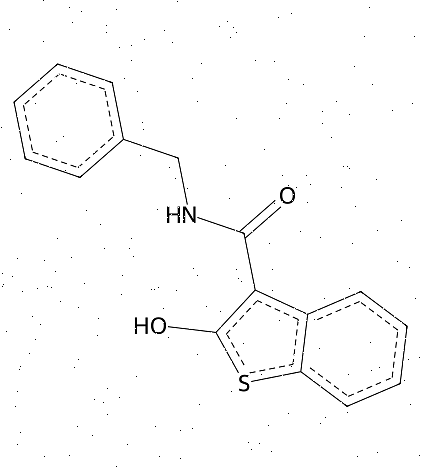 O=C(NCc1ccccc1)c1c(O)sc2ccccc12